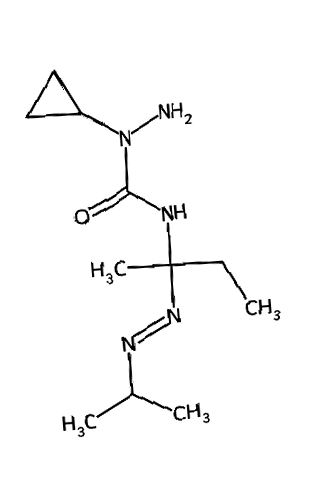 CCC(C)(N=NC(C)C)NC(=O)N(N)C1CC1